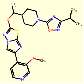 COc1cnccc1-c1cn2nc(OC(C)C3CCN(c4nc(C(C)C)no4)CC3)sc2n1